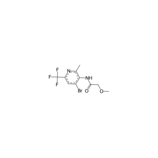 COCC(=O)Nc1c(Br)cc(C(F)(F)F)nc1C